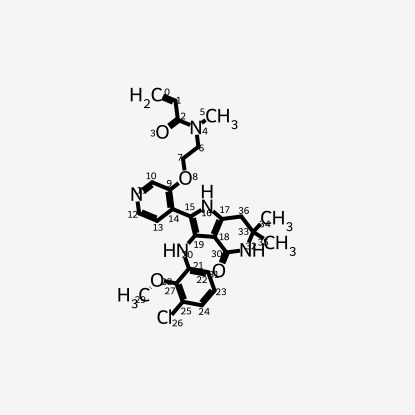 C=CC(=O)N(C)CCOc1cnccc1-c1[nH]c2c(c1Nc1cccc(Cl)c1OC)C(=O)NC(C)(C)C2